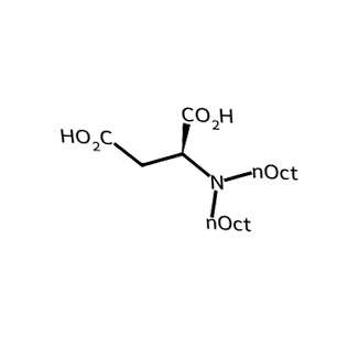 CCCCCCCCN(CCCCCCCC)[C@@H](CC(=O)O)C(=O)O